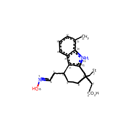 CCC1(CC(=O)O)CCC(CC=NO)c2c1[nH]c1c(C)cccc21